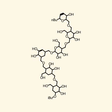 CCCCC1C#CC(O)C(COCC2C(CO)OC(COCC3C(CO)OC(OCC4C=C(O)C(O)C(COCC5C(CO)CC(COCC6C(CO)CC(OC(C)CC)C(O)C6O)C(O)C5O)C4)C(O)C3O)C(O)C2O)O1